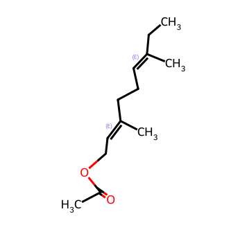 CC/C(C)=C/CC/C(C)=C/COC(C)=O